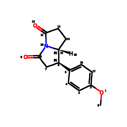 COc1ccc([C@H]2CC(=O)N3C(=O)CC[C@@H]23)cc1